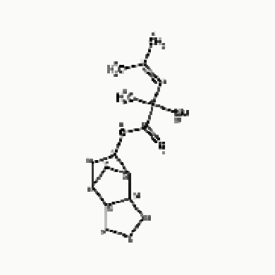 CC(C)=CC(C)(C(=O)OC1CC2CC1C1CCCC21)C(C)(C)C